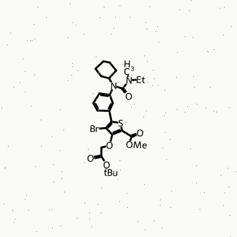 CCN(C)C(=O)N(c1cccc(-c2sc(C(=O)OC)c(OCC(=O)OC(C)(C)C)c2Br)c1)C1CCCCC1